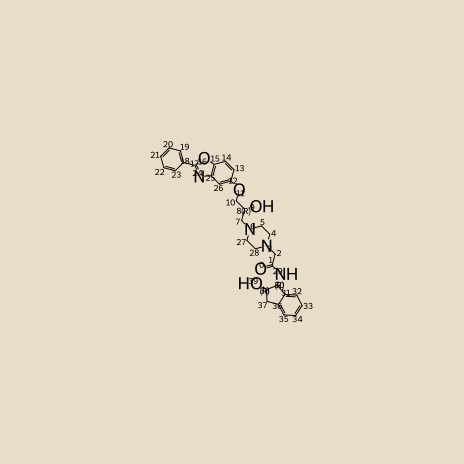 O=C(CN1CCN(C[C@@H](O)COc2ccc3oc(-c4ccccc4)nc3c2)CC1)N[C@@H]1c2ccccc2C[C@H]1O